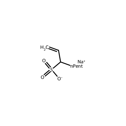 C=CC(CCCCC)S(=O)(=O)[O-].[Na+]